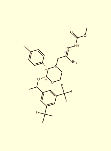 COC(=O)N/N=C(\N)CN1CCO[C@H](OC(C)c2cc(C(F)(F)F)cc(C(F)(F)F)c2)[C@@H]1c1ccc(F)cc1